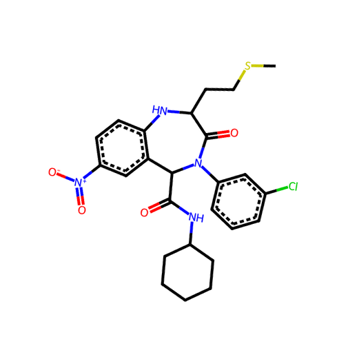 CSCCC1Nc2ccc([N+](=O)[O-])cc2C(C(=O)NC2CCCCC2)N(c2cccc(Cl)c2)C1=O